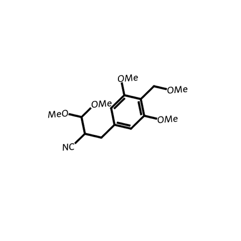 COCc1c(OC)cc(CC(C#N)C(OC)OC)cc1OC